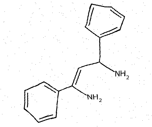 NC(=CC(N)c1ccccc1)c1ccccc1